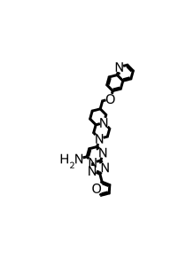 Nc1cc(N2CCN3CC(COc4ccc5ncccc5c4)CCC3C2)nc2nc(-c3ccco3)nn12